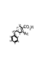 CC(=O)N(C[C@@H](C)Sc1ccccc1)[C@H](C)C(=O)O